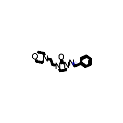 O=C1N(CCN2CCOCC2)CCN1/N=C/c1ccccc1